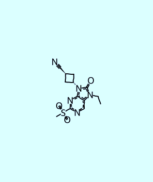 CCn1c(=O)n([C@H]2C[C@H](C#N)C2)c2nc(S(C)(=O)=O)ncc21